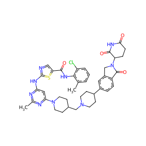 Cc1nc(Nc2ncc(C(=O)Nc3c(C)cccc3Cl)s2)cc(N2CCC(CN3CCC(c4ccc5c(c4)CN(C4CCC(=O)NC4=O)C5=O)CC3)CC2)n1